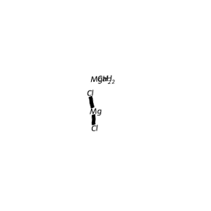 [CaH2].[Cl][Mg][Cl].[MgH2]